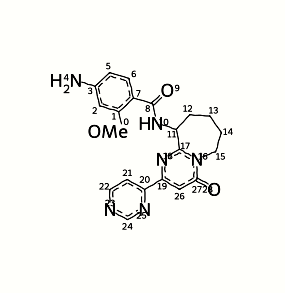 COc1cc(N)ccc1C(=O)NC1CCCCn2c1nc(-c1ccncn1)cc2=O